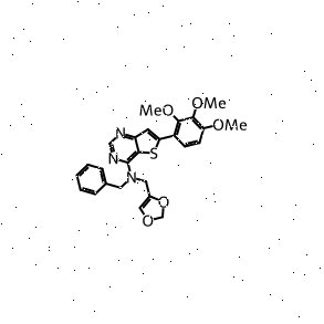 COc1ccc(-c2cc3ncnc(N(CC4=COCO4)Cc4ccccc4)c3s2)c(OC)c1OC